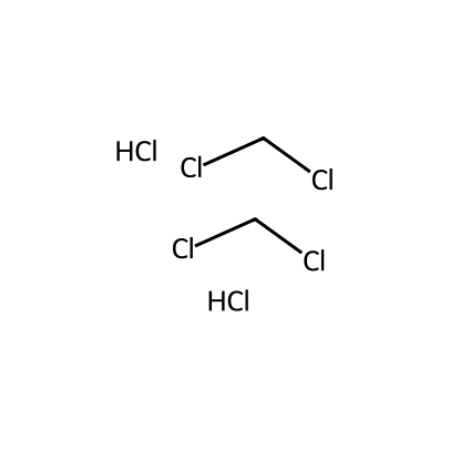 Cl.Cl.ClCCl.ClCCl